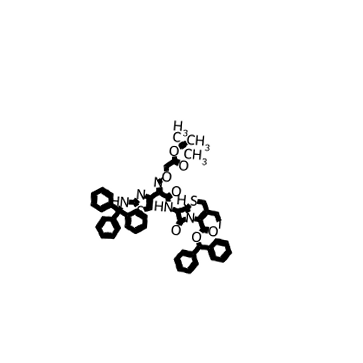 CC(C)(C)OC(=O)CO/N=C(\C(=O)NC1C(=O)N2C(C(=O)OC(c3ccccc3)c3ccccc3)=C(CI)CS[C@H]12)c1csc(NC(c2ccccc2)(c2ccccc2)c2ccccc2)n1